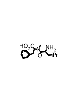 CC(C)CC(N)C(=O)N(C)C(Cc1ccccc1)C(=O)O